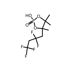 CC1(C)OP(=O)(O)OC1(C)CC(F)(F)CC(F)(F)F